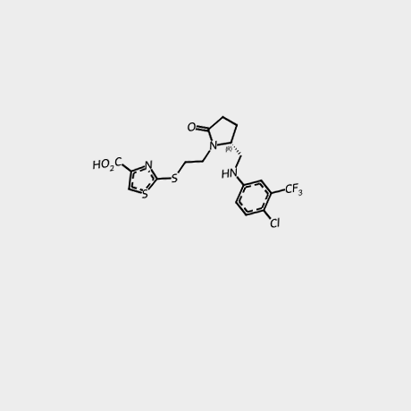 O=C(O)c1csc(SCCN2C(=O)CC[C@@H]2CNc2ccc(Cl)c(C(F)(F)F)c2)n1